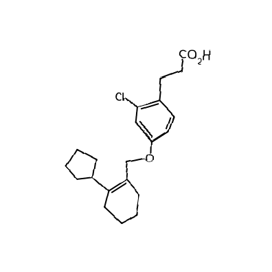 O=C(O)CCc1ccc(OCC2=C(C3CCCC3)CCCC2)cc1Cl